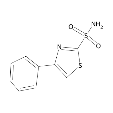 NS(=O)(=O)c1nc(-c2ccccc2)cs1